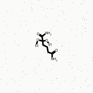 CCOC(CCCC(N)=O)(OCC)C(N)=O